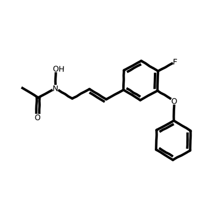 CC(=O)N(O)CC=Cc1ccc(F)c(Oc2ccccc2)c1